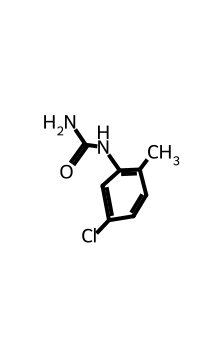 Cc1ccc(Cl)cc1NC(N)=O